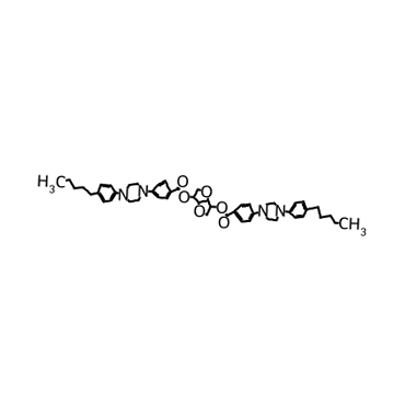 CCCCCc1ccc(N2CCN(c3ccc(C(=O)OC4COC5C(OC(=O)c6ccc(N7CCN(c8ccc(CCCCC)cc8)CC7)cc6)COC45)cc3)CC2)cc1